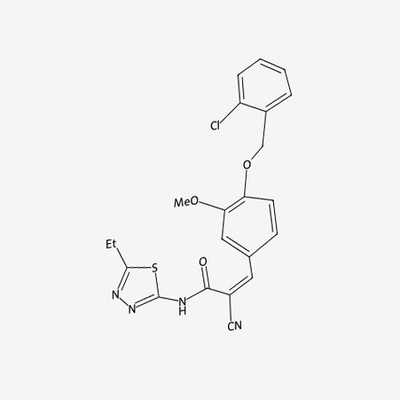 CCc1nnc(NC(=O)C(C#N)=Cc2ccc(OCc3ccccc3Cl)c(OC)c2)s1